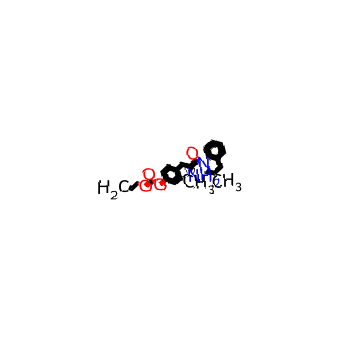 C=CCOC(=O)Oc1ccc(C[C@H](N)C(=O)N2CC(C)Cc3ccccc32)c(C)c1